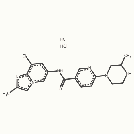 Cc1cn2cc(NC(=O)c3ccc(N4CCNC(C)C4)nc3)cc(Cl)c2n1.Cl.Cl